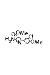 COC(=O)c1cc(-c2ccc(OC)c(Cl)c2)ncc1N